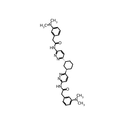 CN(C)c1cccc(CC(=O)Nc2ccc([C@@H]3CCC[C@@H](c4ccc(NC(=O)Cc5cccc(N(C)C)c5)nn4)C3)nn2)c1